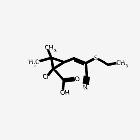 CCS/C(C#N)=C/C1C(C)(C)C1(Cl)C(=O)O